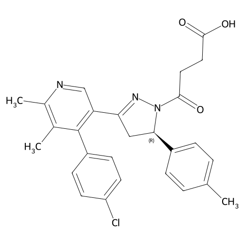 Cc1ccc([C@H]2CC(c3cnc(C)c(C)c3-c3ccc(Cl)cc3)=NN2C(=O)CCC(=O)O)cc1